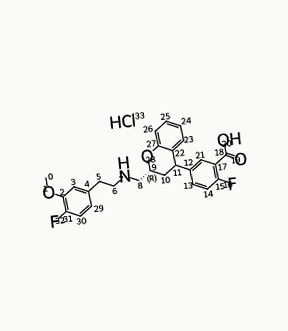 COc1cc(CCNC[C@H]2CC(c3ccc(F)c(C(=O)O)c3)c3ccccc3O2)ccc1F.Cl